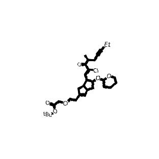 CCC#CCC(C)C(=O)C(Cl)=CC1C(OC2CCCCO2)CC2C=C(CCOCC(=O)OC(C)(C)C)CC21